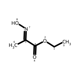 CCOC(=O)C(C)=NO